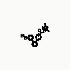 CCOc1cccc(-c2ccccc2N2CCN(C(=O)Cn3nc(C)cc3C)CC2)c1